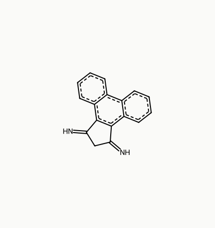 N=C1CC(=N)c2c1c1ccccc1c1ccccc21